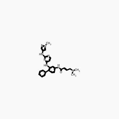 CN(C)C/C=C/C(=O)Nc1ccc(-c2ccccc2)c(Nc2ccnc(Nc3cnn(C)c3)n2)c1